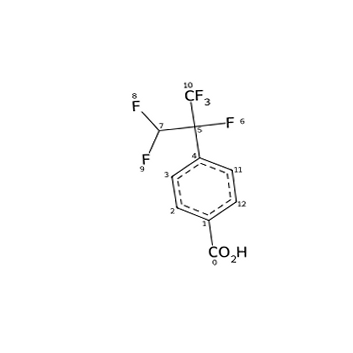 O=C(O)c1ccc(C(F)(C(F)F)C(F)(F)F)cc1